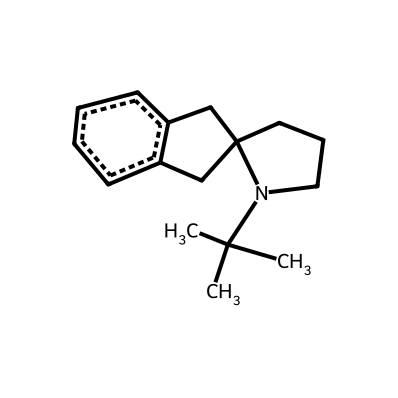 CC(C)(C)N1CCCC12Cc1ccccc1C2